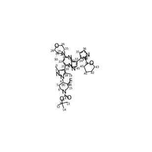 Cc1nn([C@@H]2CCN(C(=O)OC(C)(C)C)C[C@@H]2F)c(C)c1-c1cc(N2CCOC[C@H]2C)nc2c(-c3ccnn3C3CCCCO3)cnn12